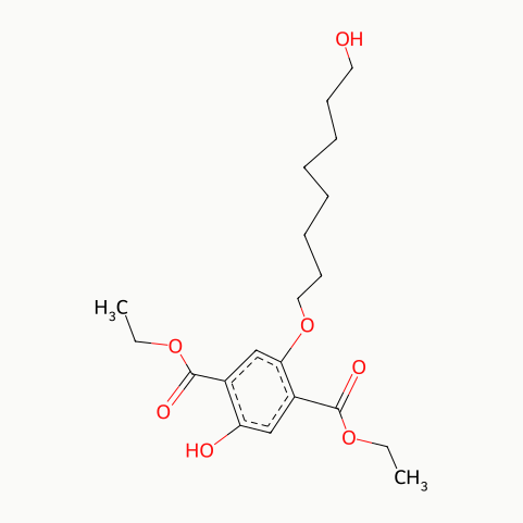 CCOC(=O)c1cc(OCCCCCCCCO)c(C(=O)OCC)cc1O